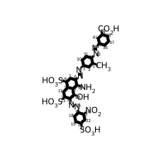 Cc1cc(/N=N/c2cc(S(=O)(=O)O)c3cc(S(=O)(=O)O)c(/N=N/c4ccc(S(=O)(=O)O)cc4[N+](=O)[O-])c(O)c3c2N)ccc1/N=N/c1cccc(C(=O)O)c1